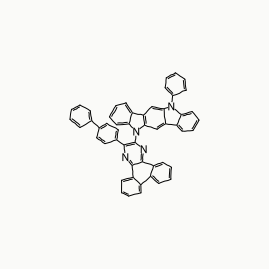 c1ccc(-c2ccc(-c3nc4c5ccccc5c5ccccc5c4nc3-n3c4ccccc4c4cc5c(cc43)c3ccccc3n5-c3ccccc3)cc2)cc1